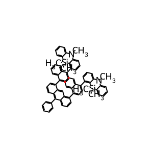 CN1c2ccccc2[Si](C)(C)c2c(-c3ccc(-c4cccc5c(-c6ccccc6)c6cccc(-c7ccc(-c8cccc9c8[Si](C)(C)c8ccccc8N9C)c8ccccc78)c6cc45)c4ccccc34)cccc21